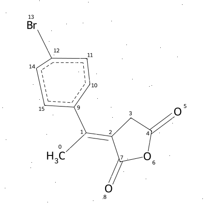 CC(=C1CC(=O)OC1=O)c1ccc(Br)cc1